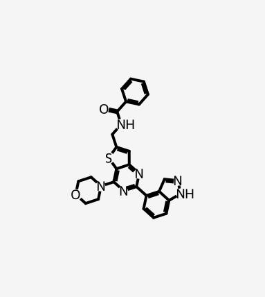 O=C(NCc1cc2nc(-c3cccc4[nH]ncc34)nc(N3CCOCC3)c2s1)c1ccccc1